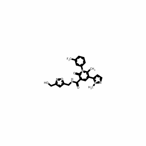 Cc1c(-c2ccnn2C)cc(C(=O)NCc2cc(CO)no2)c(=O)n1-c1cccc(C(F)(F)F)c1